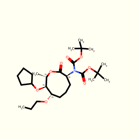 CCCO[C@H]1CCC[C@H](N(C(=O)OC(C)(C)C)C(=O)OC(C)(C)C)C(=O)O[C@@H](C)[C@@H]1OC1CCCC1